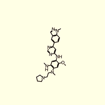 CNc1cc(Nc2cc(-c3ccc4c(cnn4C)c3)ncn2)c(OC)cc1N(C)CCN1CCCC1